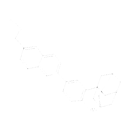 COc1ccc(-c2ccc3cc(CSC(C)=O)ccc3c2)cc1C12CC3CC(CC(C3)C1)C2